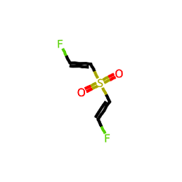 O=S(=O)(C=CF)C=CF